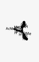 COc1cc2c(cc1OCC1=CC(NC(=O)CNC(=O)CNC(=O)CNC(C)=O)=CC(COc3cc4c(cc3OC)C(=O)N3c5ccccc5C[C@H]3C=N4)C1)NC[C@@H]1Cc3ccccc3N1C2=O